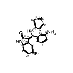 Nc1cccc(/C(Nc2ccnnc2)=C2/C(=O)Nc3ccc(Br)cc32)c1